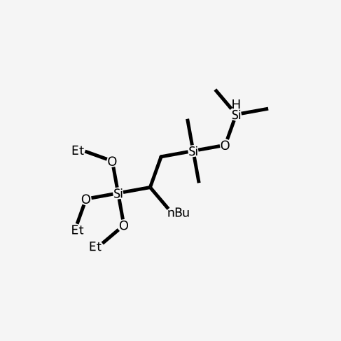 CCCCC(C[Si](C)(C)O[SiH](C)C)[Si](OCC)(OCC)OCC